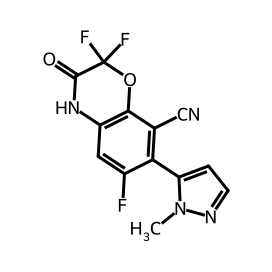 Cn1nccc1-c1c(F)cc2c(c1C#N)OC(F)(F)C(=O)N2